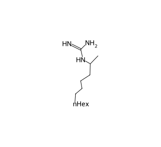 CCCCCCCCCCC(C)NC(=N)N